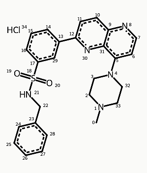 CN1CCN(c2ccnc3ccc(-c4cccc(S(=O)(=O)NCc5ccccc5)c4)nc23)CC1.Cl